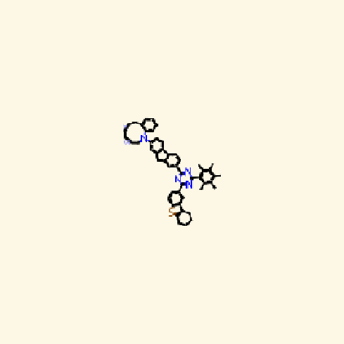 Cc1c(C)c(C)c(-c2nc(-c3ccc4c(c3)Cc3cc(N5C/C=C\C=C/Cc6ccccc65)ccc3-4)nc(-c3ccc4sc5c(c4c3)CCCC5)n2)c(C)c1C